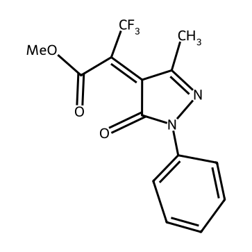 COC(=O)C(=C1C(=O)N(c2ccccc2)N=C1C)C(F)(F)F